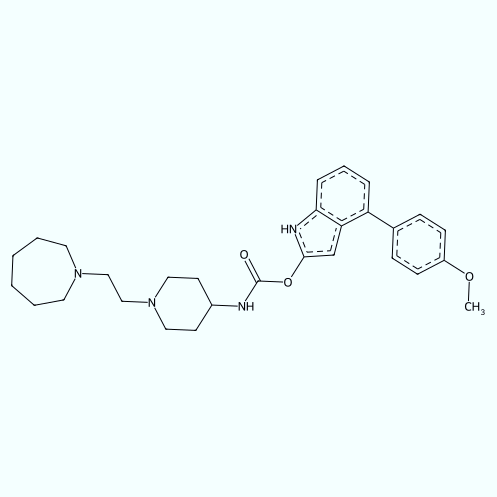 COc1ccc(-c2cccc3[nH]c(OC(=O)NC4CCN(CCN5CCCCCC5)CC4)cc23)cc1